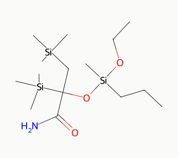 CCC[Si](C)(OCC)OC(C[Si](C)(C)C)(C(N)=O)[Si](C)(C)C